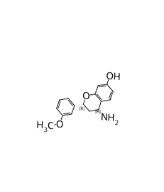 COc1cccc([C@H]2C[C@@H](N)c3ccc(O)cc3O2)c1